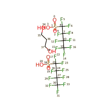 O=S(=O)(O)C(F)(F)C(F)(F)C(F)(F)C(F)(F)F.O=S(=O)(O)C(F)(F)C(F)(F)C(F)(F)C(F)(F)F.OCCCO